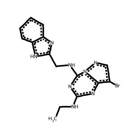 CCNc1nc(NCc2nc3ccccc3[nH]2)n2ncc(Br)c2n1